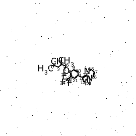 CC(C)C[C@@H](C)COc1ccc(-c2cnn3cccnc23)cc1C(F)(F)F